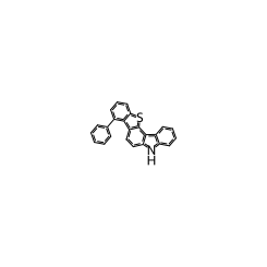 c1ccc(-c2cccc3sc4c(ccc5[nH]c6ccccc6c54)c23)cc1